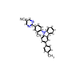 Cc1ccc(-c2ccc3c(c2)c2ccccc2n3-c2ccc(-c3ncc(C#N)cn3)cc2C#N)cc1